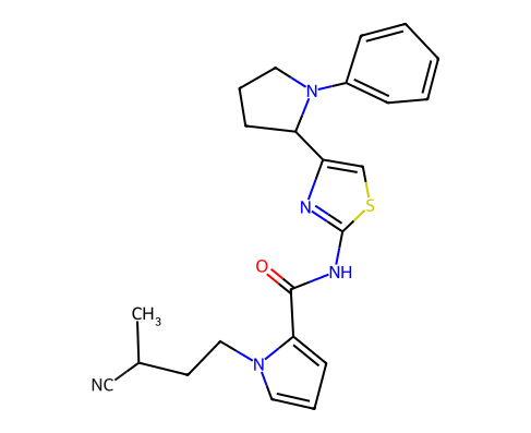 CC(C#N)CCn1cccc1C(=O)Nc1nc(C2CCCN2c2ccccc2)cs1